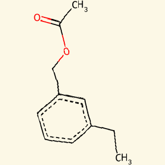 CCc1cccc(COC(C)=O)c1